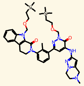 Cc1c(-c2cc(Nc3cc4n(n3)CCN(C)C4)c(=O)n(COCC[Si](C)(C)C)n2)cccc1N1CCc2c(n(COCC[Si](C)(C)C)c3ccccc23)C1=O